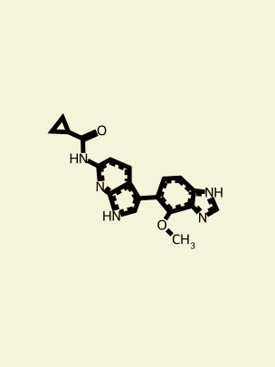 COc1c(-c2c[nH]c3nc(NC(=O)C4CC4)ccc23)ccc2[nH]cnc12